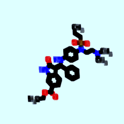 CCCS(=O)(=O)N(CCN(C)C)c1ccc(N/C(=C2\C(=O)Nc3cc(C(=O)OCC)ccc32)c2ccccc2)cc1